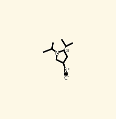 [C-]#[N+]C1C[C@@H](C(C)C)N(C(C)C)C1